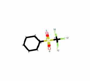 O=S(=O)([C]1CCCCC1)C(F)(F)F